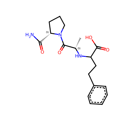 C[C@H](NC(CCc1ccccc1)C(=O)O)C(=O)N1CCC[C@H]1C(N)=O